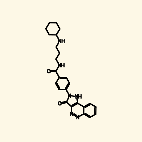 O=C(NCCCNC1CCCCC1)c1ccc(-n2[nH]c3c(nnc4ccccc43)c2=O)cc1